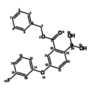 O=C(OCc1ccccc1)c1cc(Oc2cccc(F)c2)ccc1B(O)O